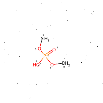 BOP(=O)(O)O[SiH3]